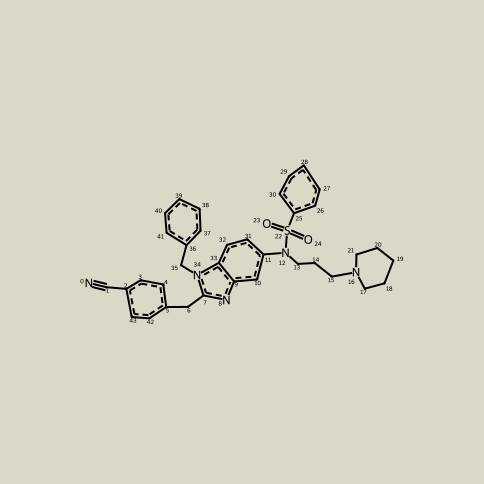 N#Cc1ccc(Cc2nc3cc(N(CCCN4CCCCC4)S(=O)(=O)c4ccccc4)ccc3n2Cc2ccccc2)cc1